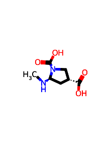 CN[C@@H]1C[C@@H](C(=O)O)CN1C(=O)O